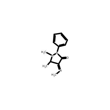 CN=C1C(=O)N(c2ccccc2)N(C)C1C